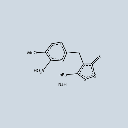 CCCCc1ssc(=S)c1Cc1ccc(OC)c(S(=O)(=O)O)c1.[NaH]